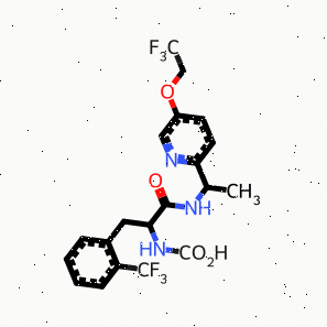 CC(NC(=O)C(Cc1ccccc1C(F)(F)F)NC(=O)O)c1ccc(OCC(F)(F)F)cn1